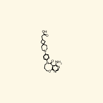 Nc1ncnc2c1C(=O)N(c1ccc(N3CCC4(CC3)CC(CC(=O)O)C4)cc1)CCCO2